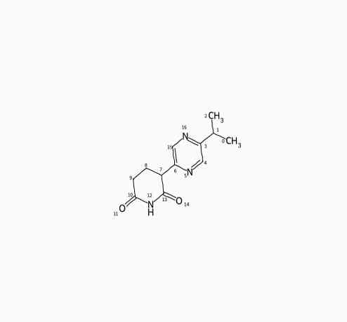 CC(C)c1cnc(C2CCC(=O)NC2=O)cn1